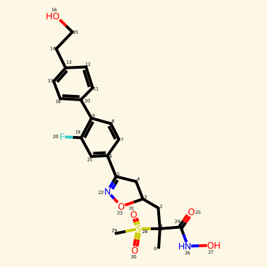 CC(CC1CC(c2ccc(-c3ccc(CCO)cc3)c(F)c2)=NO1)(C(=O)NO)S(C)(=O)=O